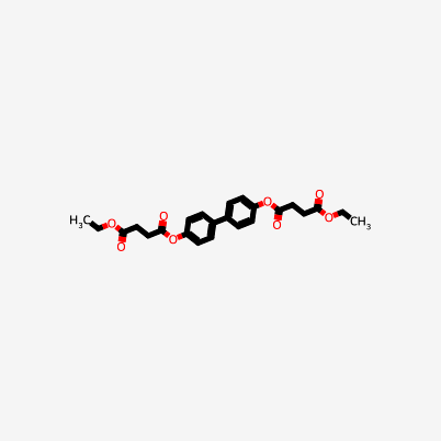 CCOC(=O)CCC(=O)Oc1ccc(-c2ccc(OC(=O)CCC(=O)OCC)cc2)cc1